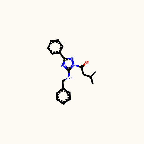 CC(C)CC(=O)n1nc(-c2ccccc2)nc1NCc1ccccc1